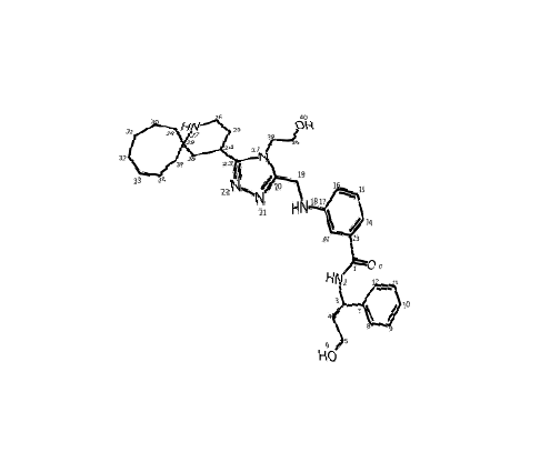 O=C(N[C@H](CCO)c1ccccc1)c1cccc(NCc2nnc(C3CCNC4(CCCCCCC4)C3)n2CCO)c1